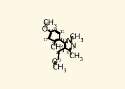 COCCc1c(C)nn(C)c1-c1ccc(OC)cc1C